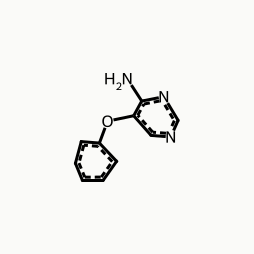 Nc1ncncc1Oc1ccccc1